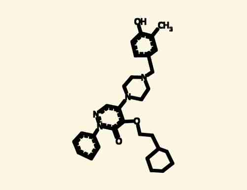 Cc1cc(CN2CCN(c3cnn(-c4ccccc4)c(=O)c3OCCC3CCCCC3)CC2)ccc1O